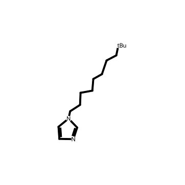 CC(C)(C)CCCCCCCCn1ccnc1